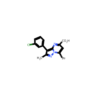 Cc1nn2c(C(C)C)cc(C(=O)O)nc2c1-c1cccc(Cl)c1